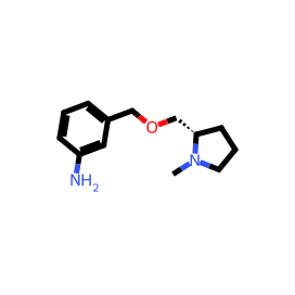 CN1CCC[C@H]1COCc1cccc(N)c1